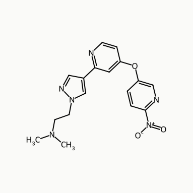 CN(C)CCn1cc(-c2cc(Oc3ccc([N+](=O)[O-])nc3)ccn2)cn1